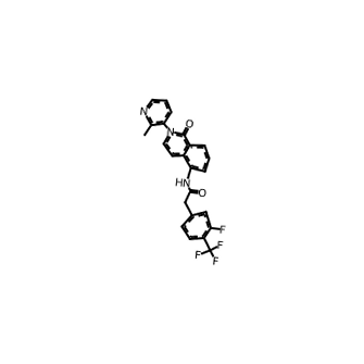 Cc1ncccc1-n1ccc2c(NC(=O)Cc3ccc(C(F)(F)F)c(F)c3)cccc2c1=O